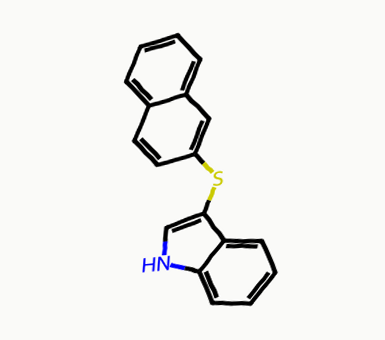 c1ccc2cc(Sc3c[nH]c4ccccc34)ccc2c1